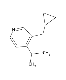 CC(C)c1ccncc1CC1CC1